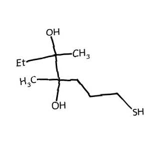 CCC(C)(O)C(C)(O)CCCS